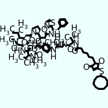 CC[C@H](C)[C@@H]([C@@H](CC(=O)N1CCC[C@H]1[C@H](OC)[C@@H](C)C(=O)N[C@@H](Cc1ccccc1)c1nccs1)OC)N(C)C(=O)CNC(=O)C(C(C)C)N(C)C(=O)OCc1ccc(NC(=O)CNC(=O)C(NC(=O)CCCCCC2C(=O)C=C(SC3CCCCCCCCC3)C2=O)C(C)C)cc1